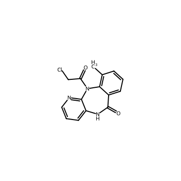 Cc1cccc2c1N(C(=O)CCl)c1ncccc1NC2=O